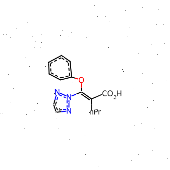 CCCC(C(=O)O)=C(Oc1ccccc1)n1nccn1